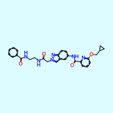 O=C(Cn1cc2cc(NC(=O)c3cccc(OCC4CC4)n3)ccc2n1)NCCNC(=O)c1ccccc1